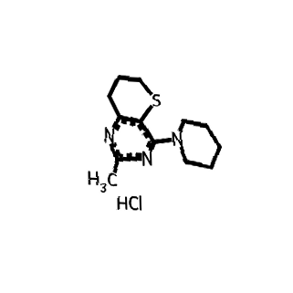 Cc1nc2c(c(N3CCCCC3)n1)SCCC2.Cl